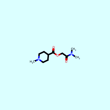 CN1CCC(C(=O)OCC(=O)N(C)C)CC1